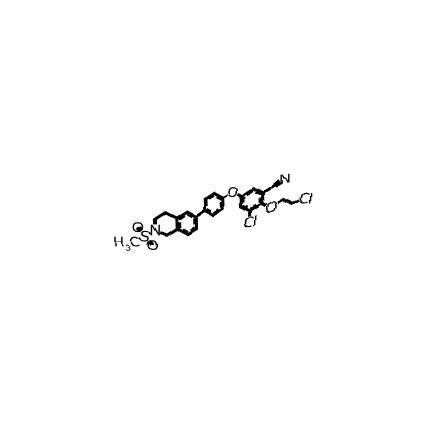 CS(=O)(=O)N1CCc2cc(-c3ccc(Oc4cc(Cl)c(OCCCl)c(C#N)c4)cc3)ccc2C1